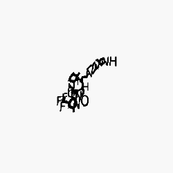 Cc1cc(C(F)(F)F)cc(N2C(=O)C[C@@H]3CN(CCN4CCN(C5(C)CNC5)CC4)c4c(C)cccc4N(C)C(=O)[C@H]32)n1